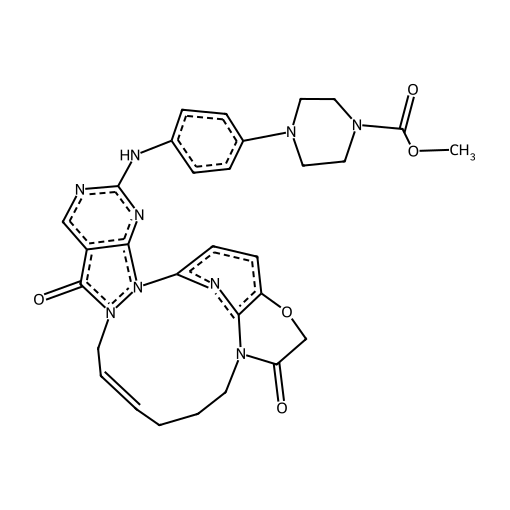 COC(=O)N1CCN(c2ccc(Nc3ncc4c(=O)n5n(c4n3)-c3ccc4c(n3)N(CCC/C=C\C5)C(=O)CO4)cc2)CC1